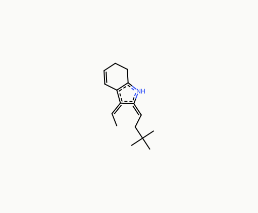 C/C=c1/c2c([nH]/c1=C/CC(C)(C)C)CCC=C2